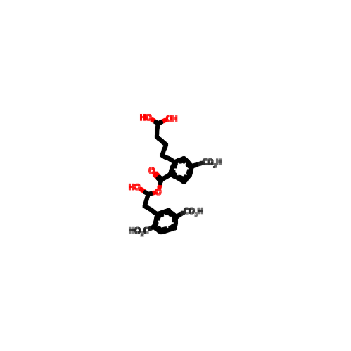 O=C(O)c1ccc(C(=O)O)c(CC(O)OC(=O)c2ccc(C(=O)O)cc2CCCC(O)O)c1